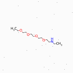 CCNCCOCCOCCOCCOCC